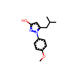 COc1ccc(-n2nc(O)cc2CC(C)C)cc1